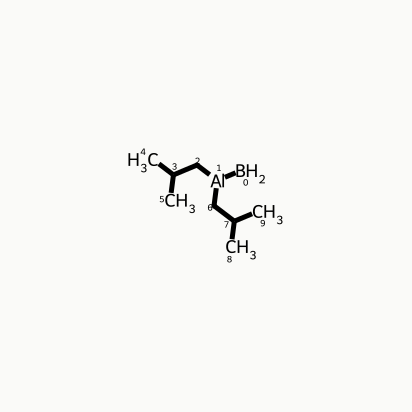 [BH2][Al]([CH2]C(C)C)[CH2]C(C)C